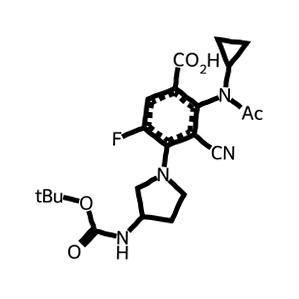 CC(=O)N(c1c(C(=O)O)cc(F)c(N2CCC(NC(=O)OC(C)(C)C)C2)c1C#N)C1CC1